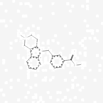 O=C(NO)c1cccc(Cn2c3c(c4ccccc42)C[S+]([O-])CC3)c1